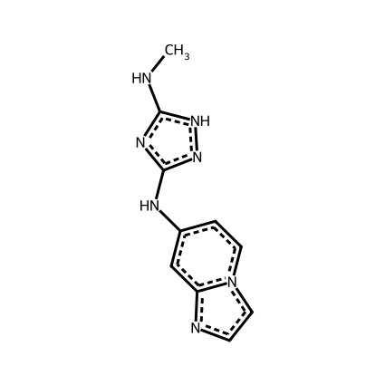 CNc1nc(Nc2ccn3ccnc3c2)n[nH]1